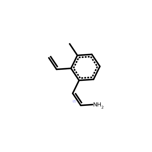 C=Cc1c(C)cccc1/C=C\N